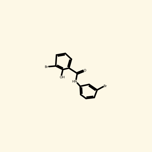 O=C(Nc1cccc(Br)c1)c1cccc(Br)c1O